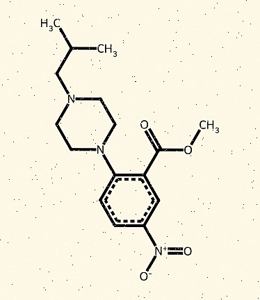 COC(=O)c1cc([N+](=O)[O-])ccc1N1CCN(C[C](C)C)CC1